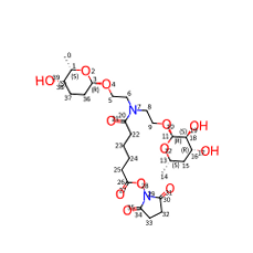 C[C@@H]1O[C@@H](OCCN(CCO[C@@H]2O[C@@H](C)C[C@@H](O)[C@@H]2O)C(=O)CCCCC(=O)ON2C(=O)CCC2=O)CC[C@@H]1O